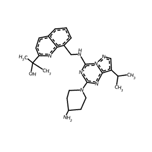 CC(C)c1cnn2c(NCc3cccc4ccc(C(C)(C)O)nc34)nc(N3CCC(N)CC3)nc12